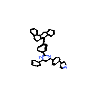 c1ccc(-c2cc(-c3ccc(-c4ccncc4)cc3)nc(-c3ccc(-c4c5ccccc5cc5c4ccc4ccccc45)cc3)n2)cc1